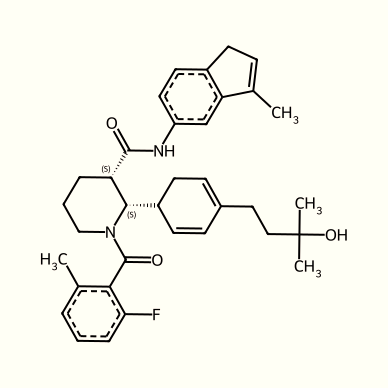 CC1=CCc2ccc(NC(=O)[C@H]3CCCN(C(=O)c4c(C)cccc4F)[C@H]3C3C=CC(CCC(C)(C)O)=CC3)cc21